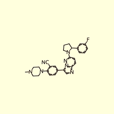 CN1CCN(c2ccc(-c3cnc4ccc(N5CCCC5c5cccc(F)c5)nn34)cc2C#N)CC1